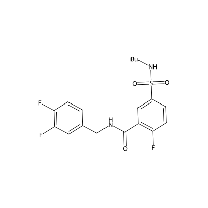 CCC(C)NS(=O)(=O)c1ccc(F)c(C(=O)NCc2ccc(F)c(F)c2)c1